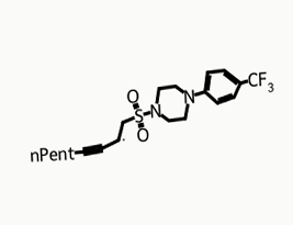 CCCCCC#C[CH]CS(=O)(=O)N1CCN(c2ccc(C(F)(F)F)cc2)CC1